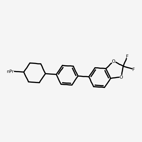 CCCC1CCC(c2ccc(-c3ccc4c(c3)OC(F)(F)O4)cc2)CC1